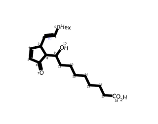 CCCCCC/C=C/C1C=CC(=O)C1C(O)CCCCCCCC(=O)O